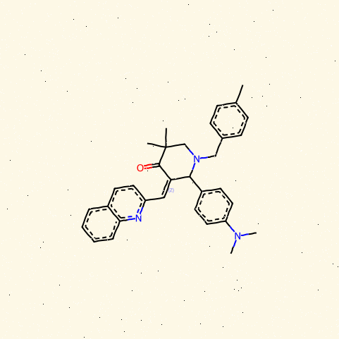 Cc1ccc(CN2CC(C)(C)C(=O)/C(=C\c3ccc4ccccc4n3)C2c2ccc(N(C)C)cc2)cc1